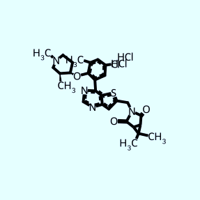 Cc1cc(Cl)cc(-c2ncnc3cc(CN4C(=O)C5C(C4=O)C5(C)C)sc23)c1O[C@@H]1CCN(C)C[C@@H]1C.Cl.Cl